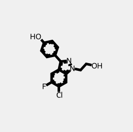 OCCn1nc(-c2ccc(O)cc2)c2cc(F)c(Cl)cc21